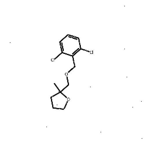 CC1(COCc2c(Cl)cccc2Cl)CCCO1